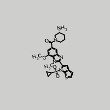 COc1cc(C(=O)N2CCC[C@@H](N)C2)cc2nc(-c3cc4ccsc4n3S(=O)(=O)C3CC3)n(C)c12